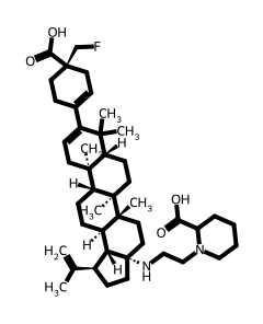 C=C(C)[C@@H]1CC[C@]2(NCCN3CCCCC3C(=O)O)CC[C@]3(C)[C@H](CC[C@@H]4[C@@]5(C)CC=C(C6=CC[C@@](CF)(C(=O)O)CC6)C(C)(C)[C@@H]5CC[C@]43C)[C@@H]12